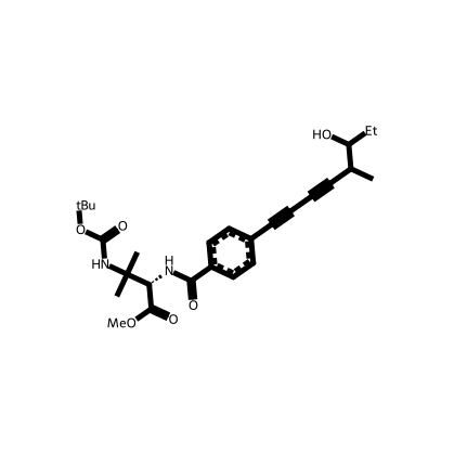 CCC(O)C(C)C#CC#Cc1ccc(C(=O)N[C@H](C(=O)OC)C(C)(C)NC(=O)OC(C)(C)C)cc1